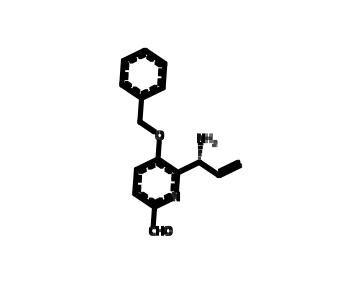 C=C[C@@H](N)c1nc(C=O)ccc1OCc1ccccc1